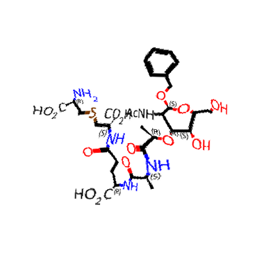 CC(=O)NC1[C@@H](OCc2ccccc2)OC(CO)[C@@H](O)[C@@H]1O[C@H](C)C(=O)N[C@@H](C)C(=O)N[C@H](CCC(=O)N[C@H](CSC[C@H](N)C(=O)O)C(=O)O)C(=O)O